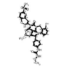 CONC(=O)Nc1ccc(-c2sc3c(c2CN(C)C)c(=O)n(C2=Cc4nc(S(C)(=O)=O)ccc4ON2)c(=O)n3Cc2c(F)cccc2F)cc1